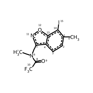 Cc1ccc2c(N(C)C(=O)C(F)(F)F)noc2c1I